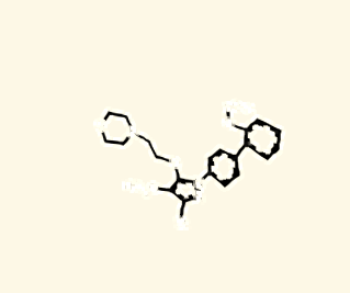 CCCCCCCCOc1ccccc1-c1ccc(-n2nc(CC)c(C(=O)O)c2OCCN2CCOCC2)cc1